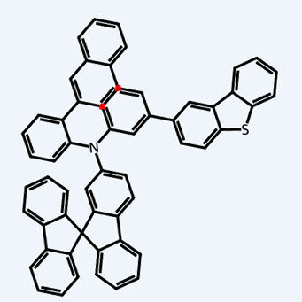 c1cc(-c2ccc3sc4ccccc4c3c2)cc(N(c2ccc3c(c2)C2(c4ccccc4-c4ccccc42)c2ccccc2-3)c2ccccc2-c2ccc3ccccc3c2)c1